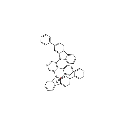 N#Cc1ccccc1-c1c(-n2c3ccccc3c3ccc(-c4ccccc4)cc32)cncc1-n1c2ccccc2c2ccc(-c3ccccc3)cc21